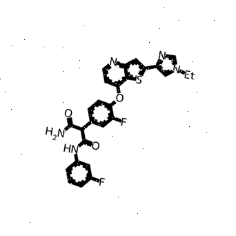 CCn1cnc(-c2cc3nccc(Oc4ccc(C(C(N)=O)C(=O)Nc5cccc(F)c5)cc4F)c3s2)c1